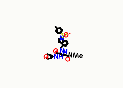 CNC(=O)c1cc(C(=O)NC2C3COCC32)n(Cc2cccc3c2ccn3[S+]([O-])c2ccc(C)cc2)n1